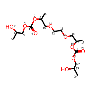 CC(O)COC(=O)OC(C)COCCOCC(C)OC(=O)OCC(C)O